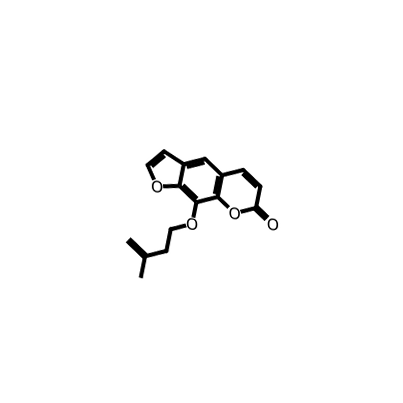 C=C(C)CCOc1c2occc2cc2ccc(=O)oc12